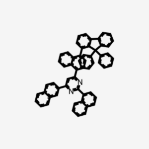 c1ccc(C2(c3ccccc3)c3ccccc3-c3cccc(-c4ccc(-c5cc(-c6ccc7ccccc7c6)nc(-c6cccc7ccccc67)n5)c5ccccc45)c32)cc1